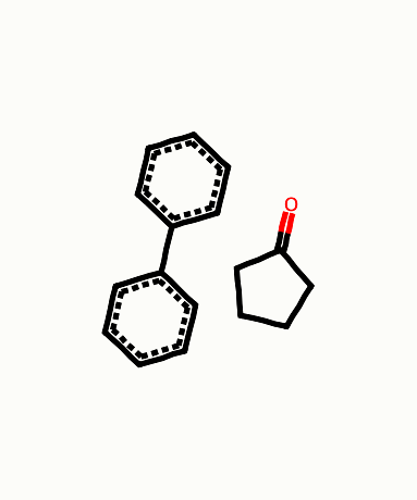 O=C1CCCC1.c1ccc(-c2ccccc2)cc1